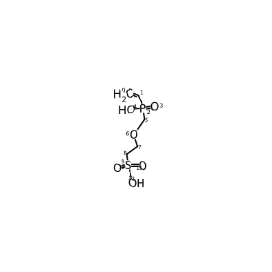 C=CP(=O)(O)COCCS(=O)(=O)O